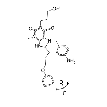 Cn1c2c(c(=O)n(CCCO)c1=O)N(Cc1ccc(N)cc1)C(CCCOc1cccc(OC(F)(F)F)c1)N2